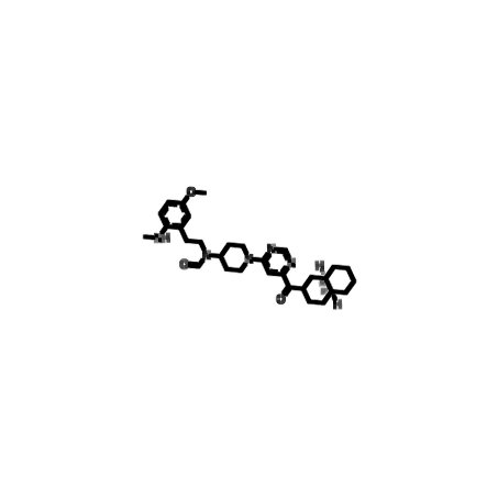 CNc1ccc(OC)cc1CCN(C=O)C1CCN(c2cc(C(=O)C3CC[C@H]4CCCC[C@@H]4C3)ncn2)CC1